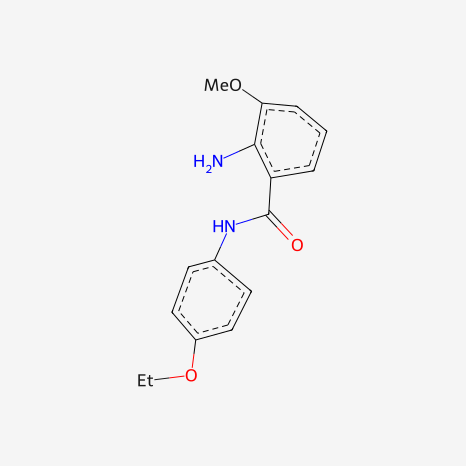 CCOc1ccc(NC(=O)c2cccc(OC)c2N)cc1